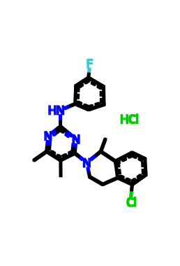 Cc1nc(Nc2cccc(F)c2)nc(N2CCc3c(Cl)cccc3C2C)c1C.Cl